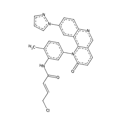 Cc1ccc(-n2c(=O)ccc3cnc4ccc(-n5cccn5)cc4c32)cc1NC(=O)C=CCCl